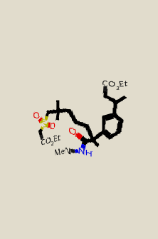 CCOC(=O)CC(C)c1cccc(C(C)(CCCC(C)(C)CS(=O)(=O)CC(=O)OCC)C(=O)NNC)c1